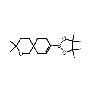 CC1(C)CCC2(CC=C(B3OC(C)(C)C(C)(C)O3)CC2)CO1